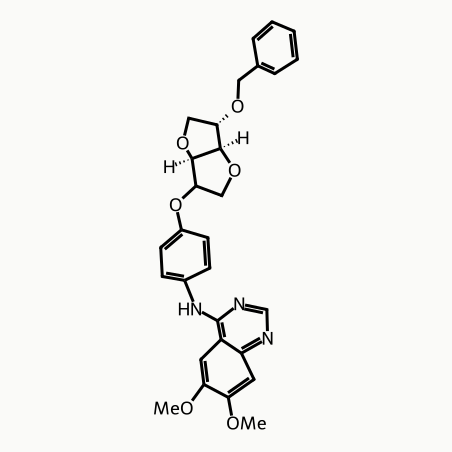 COc1cc2ncnc(Nc3ccc(OC4CO[C@@H]5[C@@H](OCc6ccccc6)CO[C@H]45)cc3)c2cc1OC